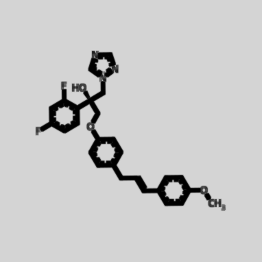 COc1ccc(/C=C/Cc2ccc(OC[C@@](O)(Cn3cncn3)c3ccc(F)cc3F)cc2)cc1